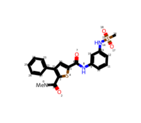 CNC(=O)c1sc(C(=O)Nc2cccc(NS(C)(=O)=O)c2)cc1-c1ccccc1